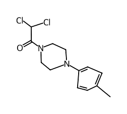 Cc1ccc(N2CCN(C(=O)C(Cl)Cl)CC2)cc1